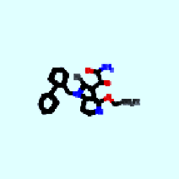 CCOC(=O)COc1nccc2c1c(C(=O)C(N)=O)c(CC)n2Cc1ccccc1-c1ccccc1